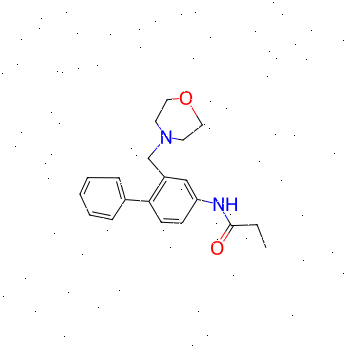 CCC(=O)Nc1ccc(-c2ccccc2)c(CN2CCOCC2)c1